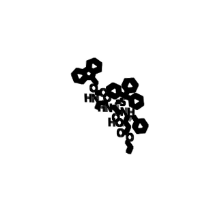 C=CCOC(=O)C[C@H](O)[C@@H](Cc1ccccc1)NC(=O)[C@@H](CSC(c1ccccc1)(c1ccccc1)c1ccccc1)NC(=O)C(C)NC(=O)OCC1c2ccccc2-c2ccccc21